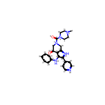 CN1CCN(C(=O)N2CC(=O)c3c([nH]c(-c4ccncc4)c3Nc3ccccc3)C2)CC1